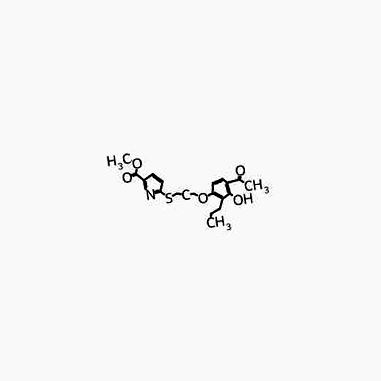 CCCc1c(OCCCSc2ccc(C(=O)OC)cn2)ccc(C(C)=O)c1O